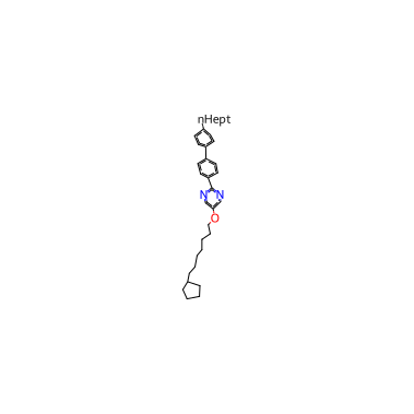 CCCCCCCc1ccc(-c2ccc(-c3ncc(OCCCCCCCC4CCCC4)cn3)cc2)cc1